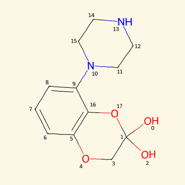 OC1(O)COc2cccc(N3CCNCC3)c2O1